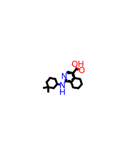 CC1(C)CCCC(Nc2ncc(C(=O)O)c3c2CCCC3)C1